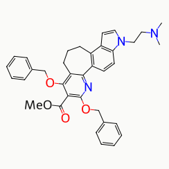 COC(=O)c1c(OCc2ccccc2)nc2c(c1OCc1ccccc1)CCCc1c-2ccc2c1ccn2CCN(C)C